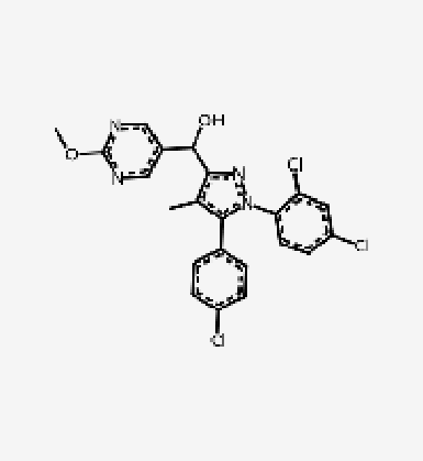 COc1ncc(C(O)c2nn(-c3ccc(Cl)cc3Cl)c(-c3ccc(Cl)cc3)c2C)cn1